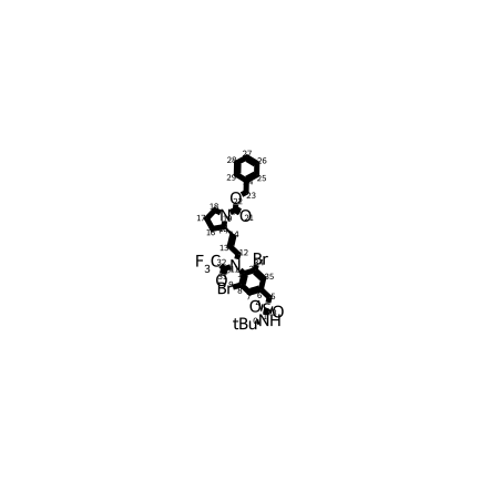 CC(C)(C)NS(=O)(=O)Cc1cc(Br)c(N(CC=C[C@H]2CCCN2C(=O)OCc2ccccc2)C(=O)C(F)(F)F)c(Br)c1